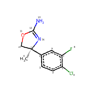 C[C@]1(c2ccc(Cl)c(F)c2)COC(N)=N1